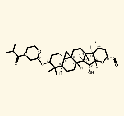 CC(C)C(=O)N1CCO[C@@H](O[C@H]2CC[C@]34C[C@]35CC[C@]3(C)[C@@H]6[C@H](O[C@@H](C=O)C[C@H]6C)[C@H](O)[C@@]3(C)[C@@H]5CC[C@H]4C2(C)C)C1